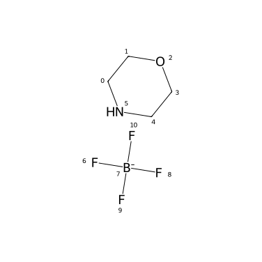 C1COCCN1.F[B-](F)(F)F